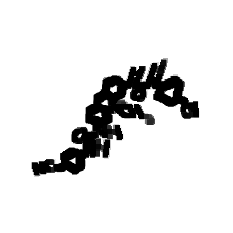 C[n+]1c2cc(NC(=O)Nc3ccc(CC#N)cc3)ccc2cc2ccc(NC(=O)Nc3ccc(CC#N)cc3)cc21